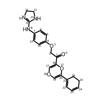 O=C(COc1ccc(NC2=NCCN2)cc1)C1=COC=C(C2=CC=CCC2)O1